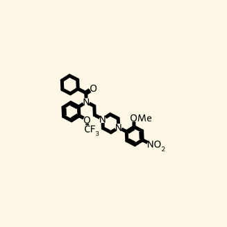 COc1cc([N+](=O)[O-])ccc1N1CCN(CCN(C(=O)C2CCCCC2)c2ccccc2OC(F)(F)F)CC1